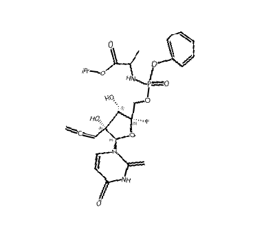 C=C=C[C@]1(O)[C@H](N2C=CC(=O)NC2=C)O[C@](F)(COP(=O)(NC(C)C(=O)OC(C)C)Oc2ccccc2)[C@H]1O